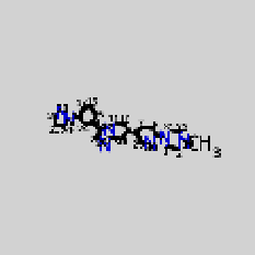 CN1CCN(c2ccc(-c3ccn4c(-c5cccc(-n6cccn6)c5)cnc4c3)cn2)CC1